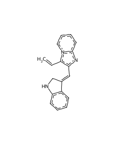 C=Cc1c(/C=C2\CNc3ccccc32)nc2ccccn12